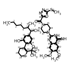 CCCCCC(C)C(C)c1cc(O)c2c(c1)OC(C)(C)C1=C2CCCS1.COc1cc2nc(N3CCN(C(=O)c4nnc(SC)o4)CC3)[nH]c(=N)c2cc1OC